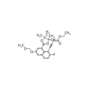 CCOC(=O)CC#Cc1c(F)ccc2cc(OCOC)cc(B3OC(C)(C)C(C)(C)O3)c12